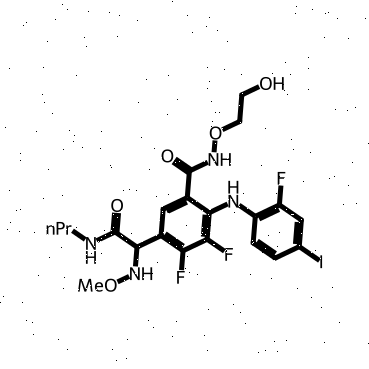 CCCNC(=O)C(NOC)c1cc(C(=O)NOCCO)c(Nc2ccc(I)cc2F)c(F)c1F